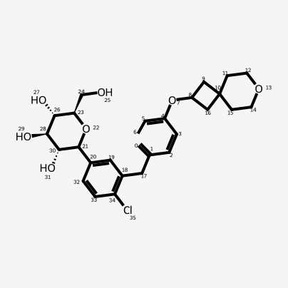 C=C(/C=C\C(=C/C)OC1CC2(CCOCC2)C1)Cc1cc(C2O[C@H](CO)[C@@H](O)[C@H](O)[C@H]2O)ccc1Cl